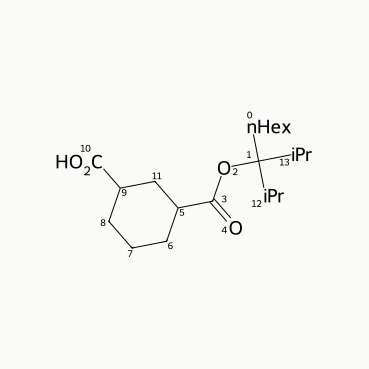 CCCCCCC(OC(=O)C1CCCC(C(=O)O)C1)(C(C)C)C(C)C